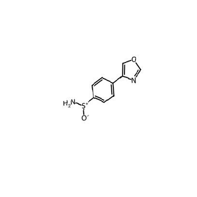 N[S+]([O-])c1ccc(-c2cocn2)cc1